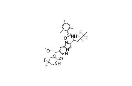 COC[C@H](c1cnn2cc([C@H](CC(C)(C)C(C)(F)F)N[S+]([O-])c3c(C)cc(C)cc3C)nc2c1)N1CC(F)(F)CNC1=O